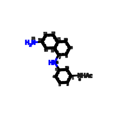 CC(=O)Nc1cccc(Nc2cccc3ccc(N)cc23)c1